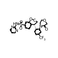 O=C1COCCN1c1cc(C(F)(F)F)ccc1[C@H]1CCOc2cc(S(=O)(=O)Nc3ncccn3)ccc21